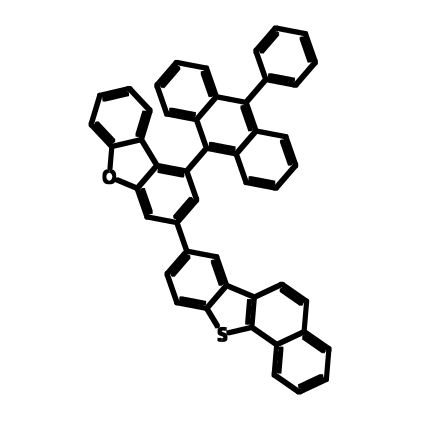 c1ccc(-c2c3ccccc3c(-c3cc(-c4ccc5sc6c7ccccc7ccc6c5c4)cc4oc5ccccc5c34)c3ccccc23)cc1